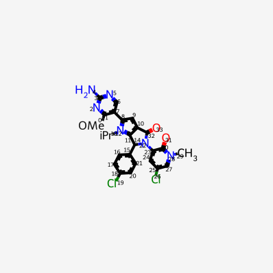 COc1nc(N)ncc1-c1cc2c(n1C(C)C)C(c1ccc(Cl)cc1)N(c1cc(Cl)cn(C)c1=O)C2=O